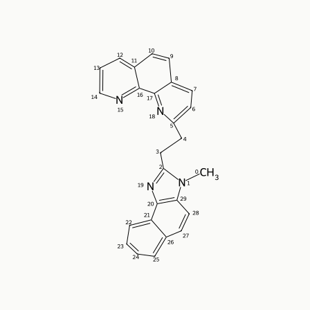 Cn1c(CCc2ccc3ccc4cccnc4c3n2)nc2c3ccccc3ccc21